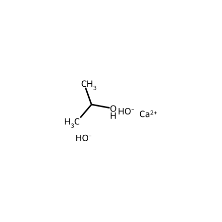 CC(C)O.[Ca+2].[OH-].[OH-]